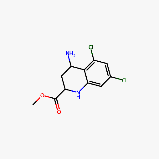 COC(=O)C1CC(N)c2c(Cl)cc(Cl)cc2N1